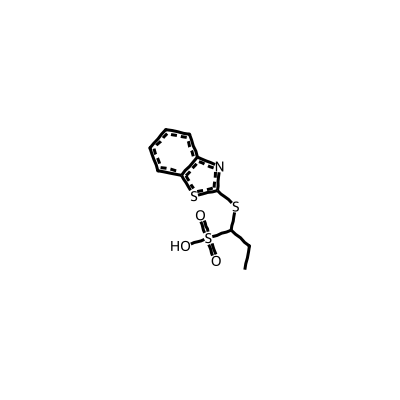 CCC(Sc1nc2ccccc2s1)S(=O)(=O)O